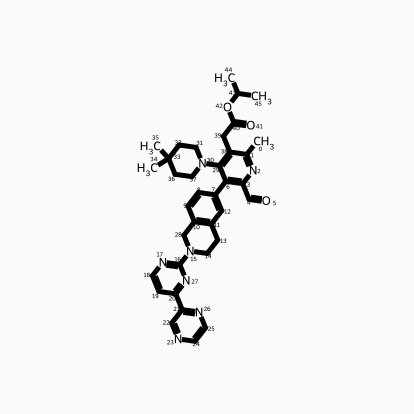 Cc1nc(C=O)c(-c2ccc3c(c2)CCN(c2nccc(-c4cnccn4)n2)C3)c(N2CCC(C)(C)CC2)c1CC(=O)OC(C)C